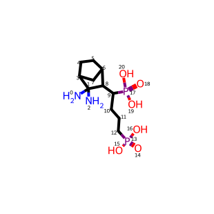 NC1(N)C2CCC(C2)C1C(CCCP(=O)(O)O)P(=O)(O)O